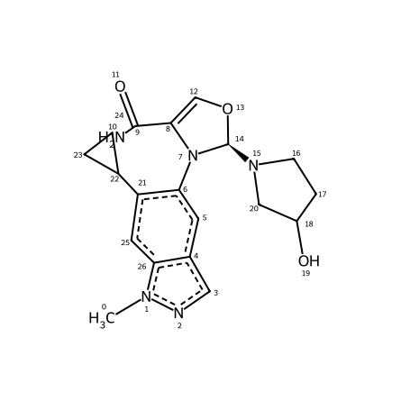 Cn1ncc2cc(N3C(C(N)=O)=CO[C@H]3N3CCC(O)C3)c(C3CC3)cc21